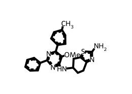 COc1c(NC2CCc3nc(N)sc3C2)nc(-c2ccccc2)nc1-c1ccc(C)cc1